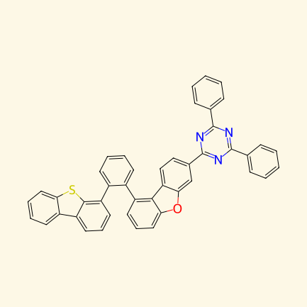 c1ccc(-c2nc(-c3ccccc3)nc(-c3ccc4c(c3)oc3cccc(-c5ccccc5-c5cccc6c5sc5ccccc56)c34)n2)cc1